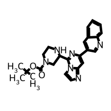 CC(C)(C)OC(=O)N1CCNC(c2nc(-c3cnc4ccccc4c3)cc3nccn23)C1